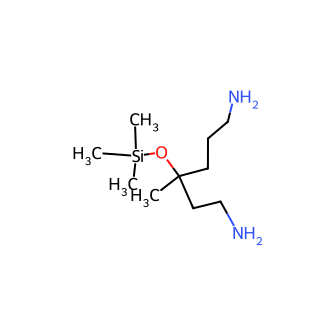 CC(CCN)(CCCN)O[Si](C)(C)C